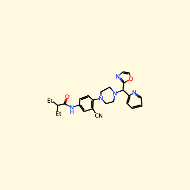 CCC(CC)C(=O)Nc1ccc(N2CCN(C(c3ccccn3)c3ncco3)CC2)c(C#N)c1